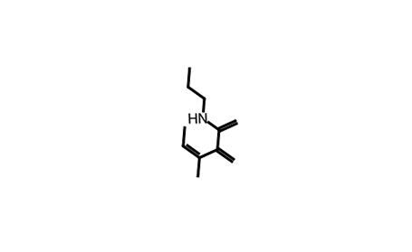 C=C(NCCC)C(=C)/C(C)=C\C